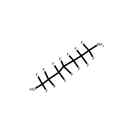 NC(F)(F)C(F)(F)C(F)(F)C(F)(F)C(F)(F)C(F)(F)C(O)(F)F